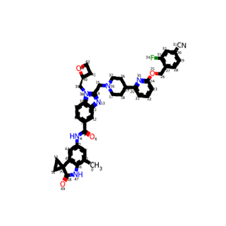 Cc1cc(NC(=O)c2ccc3c(c2)nc(CN2CCC(c4cccc(OCc5ccc(C#N)cc5F)n4)CC2)n3C[C@@H]2CCO2)cc2c1NC(=O)C21CC1